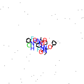 CCn1c(COCc2ccccc2)nn(-c2nc(NC(C)C3OCCCO3)c(C(=O)Nc3c(F)cccc3Cl)cc2F)c1=O